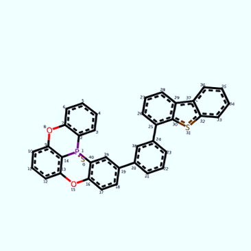 S=P12c3ccccc3Oc3cccc(c31)Oc1ccc(-c3cccc(-c4cccc5c4sc4ccccc45)c3)cc12